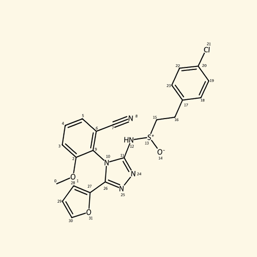 COc1cccc(C#N)c1-n1c(N[S+]([O-])CCc2ccc(Cl)cc2)nnc1-c1ccco1